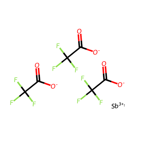 O=C([O-])C(F)(F)F.O=C([O-])C(F)(F)F.O=C([O-])C(F)(F)F.[Sb+3]